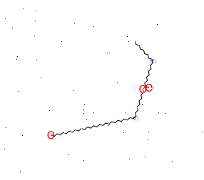 CCCCCCCC/C=C\CCCCCCCC(=O)OCCCCCCCC/C=C\CCCCCCCCCCCCCCCCCCCCCCCCCC=O